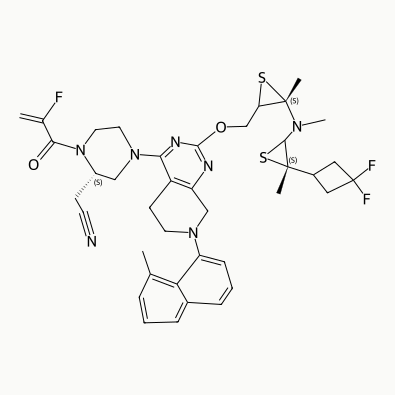 C=C(F)C(=O)N1CCN(c2nc(OCC3S[C@]3(C)N(C)C3S[C@@]3(C)C3CC(F)(F)C3)nc3c2CCN(c2cccc4cccc(C)c24)C3)C[C@@H]1CC#N